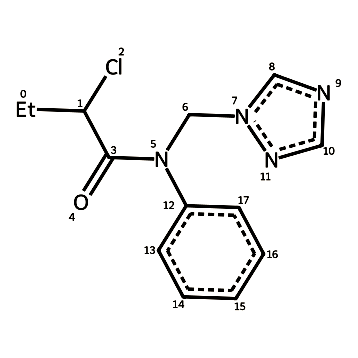 CCC(Cl)C(=O)N(Cn1cncn1)c1ccccc1